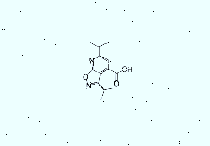 CC(C)c1cc(C(=O)O)c2c(C(C)C)noc2n1